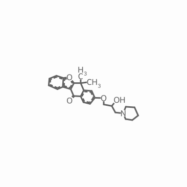 CC1(C)c2cc(OCC(O)CN3CCCCC3)ccc2C(=O)c2c1oc1ccccc21